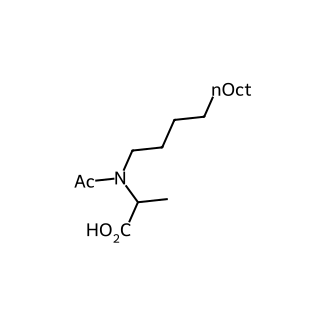 CCCCCCCCCCCCN(C(C)=O)C(C)C(=O)O